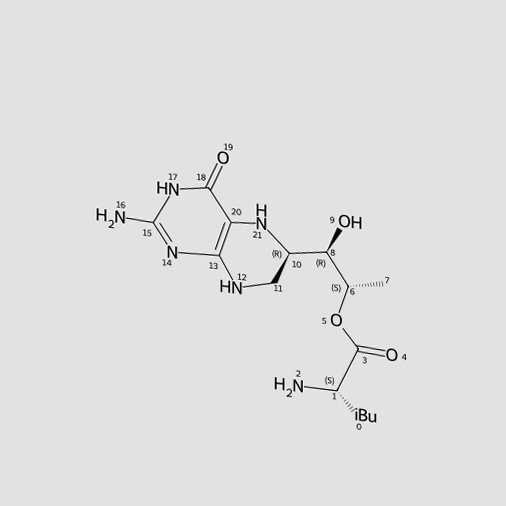 CCC(C)[C@H](N)C(=O)O[C@@H](C)[C@H](O)[C@H]1CNc2nc(N)[nH]c(=O)c2N1